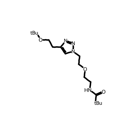 CC(C)(C)OCCc1cn(CCOCCNC(=O)C(C)(C)C)nn1